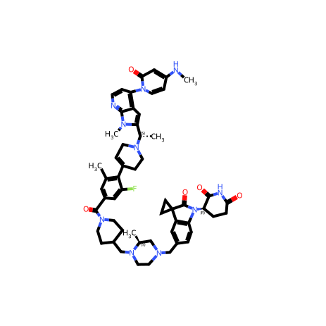 CNc1ccn(-c2ccnc3c2cc([C@H](C)N2CC=C(c4c(C)cc(C(=O)N5CCC(CN6CCN(Cc7ccc8c(c7)C7(CC7)C(=O)N8[C@@H]7CCC(=O)NC7=O)C[C@@H]6C)CC5)cc4F)CC2)n3C)c(=O)c1